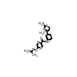 CC(C)=NOc1cnc(C(=O)Nc2cccc([C@]3(C)CCSC(N)=N3)c2)cn1